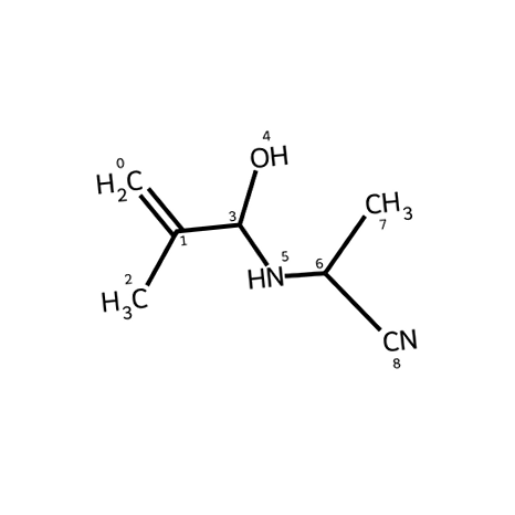 C=C(C)C(O)NC(C)C#N